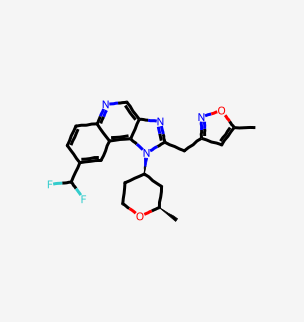 Cc1cc(Cc2nc3cnc4ccc(C(F)F)cc4c3n2[C@@H]2CCO[C@H](C)C2)no1